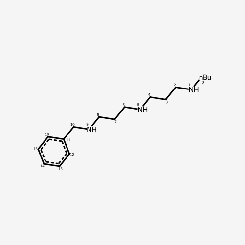 CCCCNCCCNCCCNCc1ccccc1